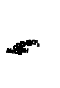 COC(=O)c1c(O)c2cc(-c3ccc(C(F)(F)F)cc3)ccc2oc1=O